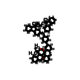 CC1(C)c2ccccc2-c2ccc(N(c3ccc(-c4ccc5c(c4)C4(c6ccccc6S5)c5ccccc5C(C)(C)c5c4ccc4ccccc54)cc3)c3ccc4c(c3)C(C)(C)c3ccccc3-4)cc21